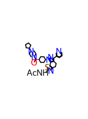 CC(=O)Nc1nc2c(s1)-c1c(c(-c3cccnc3)nn1[C@H]1CC[C@H](C(=O)N3CCN(C4CCCC4)CC3)CC1)CC2